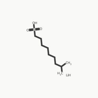 CC(C)CCCCCCCS(=O)(=O)O.[LiH]